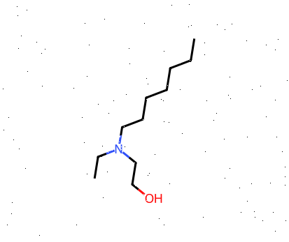 CCCCCCCN(CC)CCO